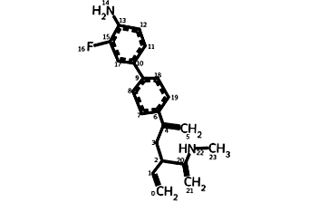 C=CC(CC(=C)c1ccc(-c2ccc(N)c(F)c2)cc1)C(=C)NC